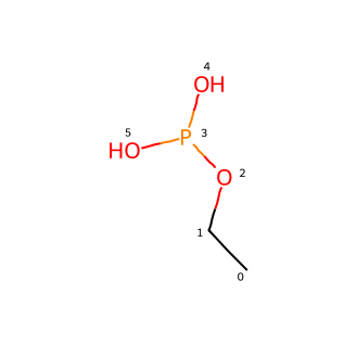 CCOP(O)O